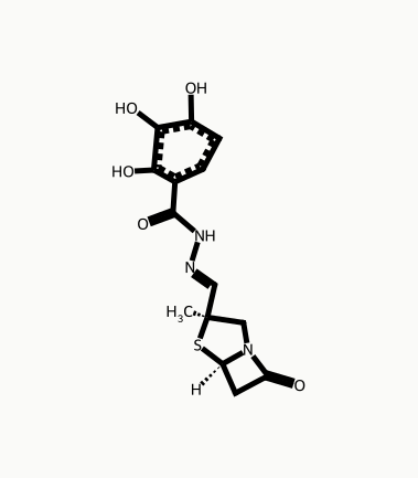 C[C@]1(/C=N/NC(=O)c2ccc(O)c(O)c2O)CN2C(=O)C[C@H]2S1